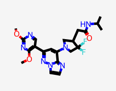 COc1ncc(-c2cc(N3CC(CC(=O)NC(C)C)C(F)(F)C3)c3nccn3n2)c(OC)n1